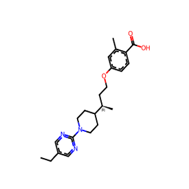 CCc1cnc(N2CCC([C@H](C)CCOc3ccc(C(=O)O)c(C)c3)CC2)nc1